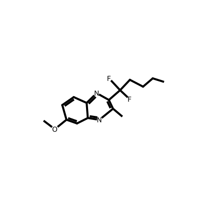 CCCCC(F)(F)c1nc2ccc(OC)cc2nc1C